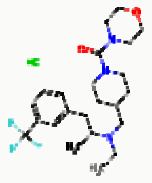 CCN(CC1CCN(C(=O)N2CCOCC2)CC1)C(C)Cc1cccc(C(F)(F)F)c1.Cl